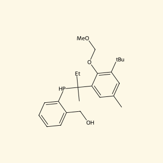 CCC(C)(Pc1ccccc1CO)c1cc(C)cc(C(C)(C)C)c1OCOC